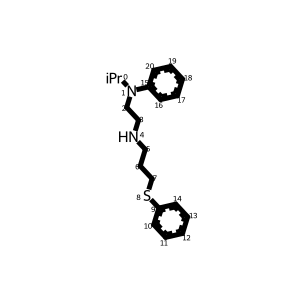 CC(C)N(CCNCCCSc1ccccc1)c1ccccc1